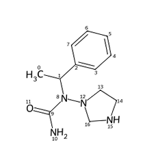 CC(c1ccccc1)N(C(N)=O)N1CCNC1